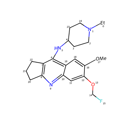 CCN1CCC(Nc2c3c(nc4cc(OCF)c(OC)cc24)CCC3)CC1